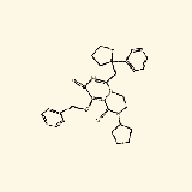 O=C1c2c(OCc3ccccc3)c(=O)nc(CC3(c4ccccc4)CCCC3)n2CCN1C1CCCC1